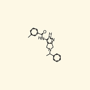 Cc1cccc(C(=O)Nc2[nH]nc3c2CN(C(C)c2ccccc2)C3)c1